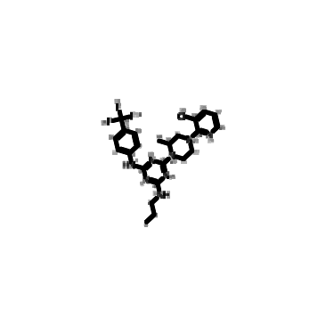 CCCNc1nc(Nc2ccc(C(F)(F)F)cc2)nc(N2CCN(c3ncccc3Cl)CC2C)n1